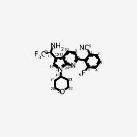 N#Cc1cccc(F)c1-c1ccc2c([C@H](N)C(F)(F)F)cn(C3CCOCC3)c2n1